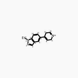 CCn1ncc2cc(C3=CCN=CC3)ccc21